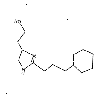 OCCC1CNC(CCCC2CCCCC2)=N1